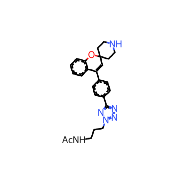 CC(=O)NCCCn1nnc(-c2ccc(C3=CC4(CCNCC4)Oc4ccccc43)cc2)n1